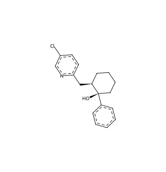 O[C@]1(c2ccccc2)CCCC[C@@H]1Cc1ccc(Cl)cn1